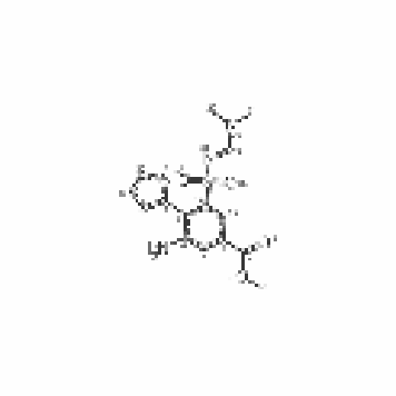 COC(=O)c1cc(N)c(-c2cccs2)c(S(=O)(=O)N=CN(C)C)c1